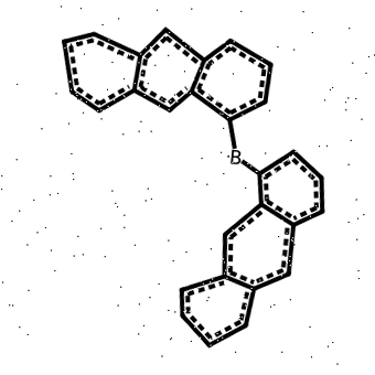 [B](c1cccc2cc3ccccc3cc12)c1cccc2cc3ccccc3cc12